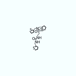 O=C(NCCS(=O)(=O)N(Cc1cccs1)Cc1cccs1)NCc1cccs1